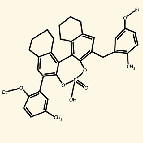 CCOc1ccc(C)c(Cc2cc3c(c4c2OP(=O)(O)Oc2c(-c5cc(C)ccc5OCC)cc5c(c2-4)CCCC5)CCCC3)c1